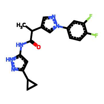 CC(C(=O)Nc1cc(C2CC2)n[nH]1)c1cnn(-c2ccc(F)c(F)c2)c1